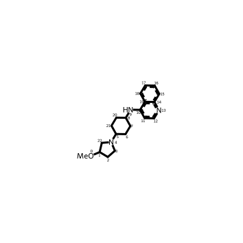 COC1CCN(C2CCC(Nc3ccnc4ccccc34)CC2)C1